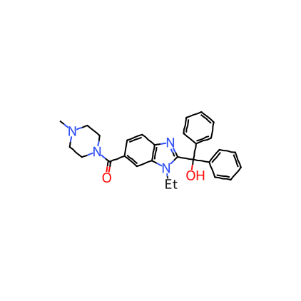 CCn1c(C(O)(c2ccccc2)c2ccccc2)nc2ccc(C(=O)N3CCN(C)CC3)cc21